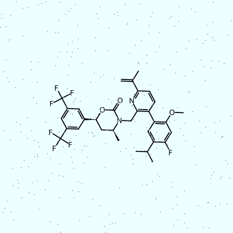 C=C(C)c1ccc(-c2cc(C(C)C)c(F)cc2OC)c(CN2C(=O)O[C@H](c3cc(C(F)(F)F)cc(C(F)(F)F)c3)C[C@@H]2C)n1